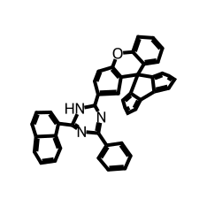 c1ccc(C2=NC(c3ccc4c(c3)C3(c5ccccc5O4)c4ccccc4-c4ccccc43)NC(c3cccc4ccccc34)=N2)cc1